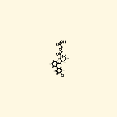 O=C(O)COCC(=O)N1CCCC(Cc2ccccc2-c2ccc(Cl)cc2)C1